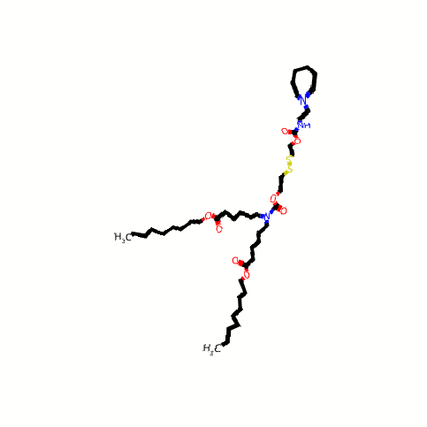 CCCCCCCCCOC(=O)CCCCCN(CCCCCC(=O)OCCCCCCCCC)C(=O)OCCSSCCOC(=O)NCCN1CCCCCC1